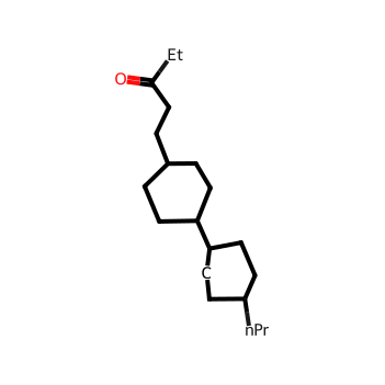 CCCC1CCC(C2CCC(CCC(=O)CC)CC2)CC1